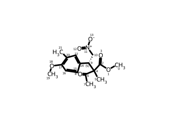 COC(=O)C(C)(C(C)=O)[C@@H](C[N+](=O)[O-])c1ccc(OC)c(C)c1